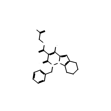 O=C(O)CNC(=O)c1c(O)c2cc3c(n2n(Cc2ccccc2)c1=O)CCCC3